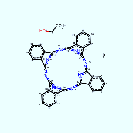 O=C(O)CO.[Ti].c1ccc2c(c1)-c1nc-2nc2[nH]c(nc3nc(nc4[nH]c(n1)c1ccccc41)-c1ccccc1-3)c1ccccc21